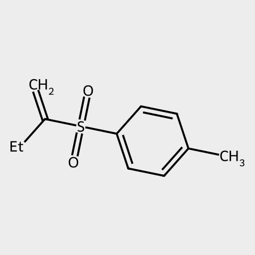 C=C(CC)S(=O)(=O)c1ccc(C)cc1